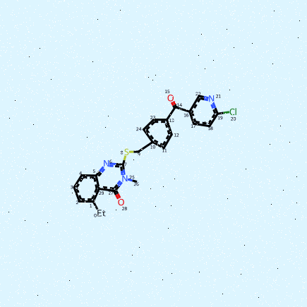 CCc1cccc2nc(SCc3ccc(C(=O)c4ccc(Cl)nc4)cc3)n(C)c(=O)c12